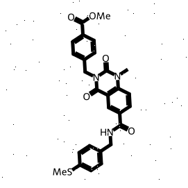 COC(=O)c1ccc(Cn2c(=O)c3cc(C(=O)NCc4ccc(SC)cc4)ccc3n(C)c2=O)cc1